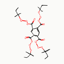 CCC(C)(C)OOOC(=O)c1cc(C(=O)OOOC(C)(C)CC)c(C(=O)OOOC(C)(C)CC)cc1C(=O)OOOC(C)(C)CC